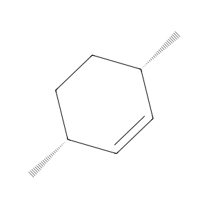 C[C@@H]1C=C[C@H](C)CC1